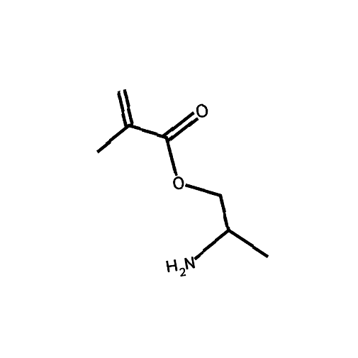 C=C(C)C(=O)OCC(C)N